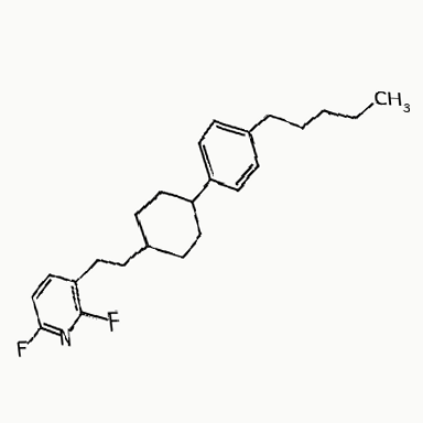 CCCCCc1ccc(C2CCC(CCc3ccc(F)nc3F)CC2)cc1